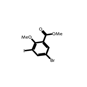 COC(=O)c1cc(Br)cc(I)c1OC